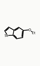 CCOc1ccc2[se]ccc2c1